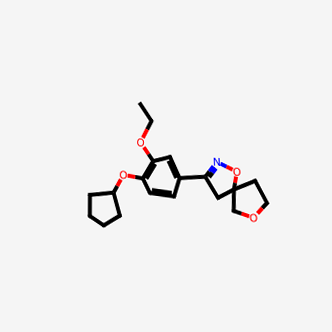 CCOc1cc(C2=NOC3(CCOC3)C2)ccc1OC1CCCC1